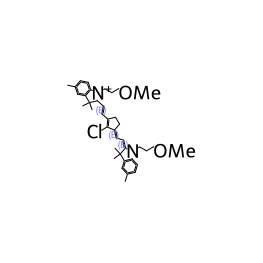 COCCCN1/C(=C/C=C2\CCC(/C=C/C3=[N+](CCCOC)c4ccc(C)cc4C3(C)C)=C2Cl)C(C)(C)c2cc(C)ccc21